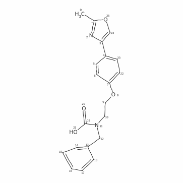 Cc1nc(-c2ccc(OCCN(Cc3ccccc3)C(=O)O)cc2)co1